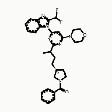 CC(CC[C@H]1CCN(C(=O)c2ccccc2)C1)c1nc(N2CCOCC2)cc(-n2c(C(F)F)nc3ccccc32)n1